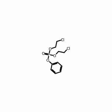 O=P(OCCCl)(OCCCl)Oc1ccccc1